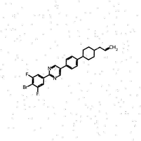 C=CCC1CCC(c2ccc(-c3cnc(-c4cc(F)c(Br)c(F)c4)nc3)cc2)CC1